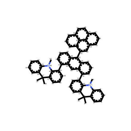 CN1c2ccccc2C(C)(C)c2cccc(-c3cccc4c(-c5cc6cccc7ccc8cccc5c8c76)c5cccc(-c6cccc7c6N(C)c6ccccc6C7(C)C)c5cc34)c21